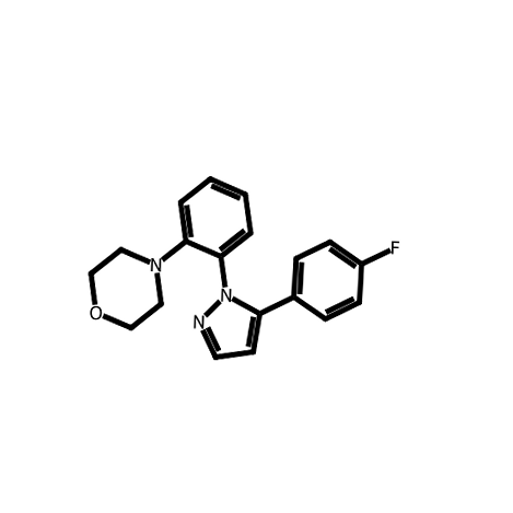 Fc1ccc(-c2ccnn2-c2ccccc2N2CCOCC2)cc1